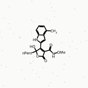 CCCCCC1(O)OC(=O)C(C(=O)NOC)=C1c1cc2c(C)cccc2[nH]1